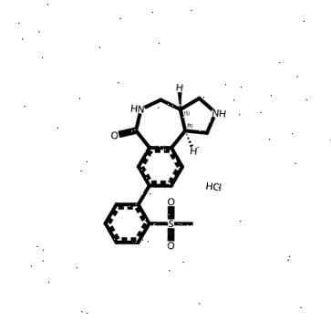 CS(=O)(=O)c1ccccc1-c1ccc2c(c1)C(=O)NC[C@@H]1CNC[C@@H]21.Cl